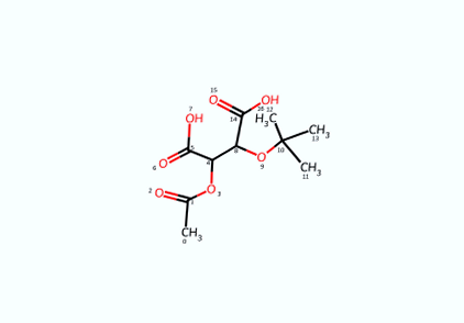 CC(=O)OC(C(=O)O)C(OC(C)(C)C)C(=O)O